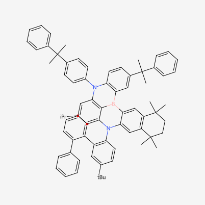 CC(C)c1cc2c3c(c1)N(c1ccc(C(C)(C)C)cc1-c1ccccc1-c1ccccc1)c1cc4c(cc1B3c1cc(C(C)(C)c3ccccc3)ccc1N2c1ccc(C(C)(C)c2ccccc2)cc1)C(C)(C)CCC4(C)C